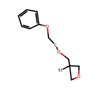 CCC1(COCCOc2ccccc2)COC1